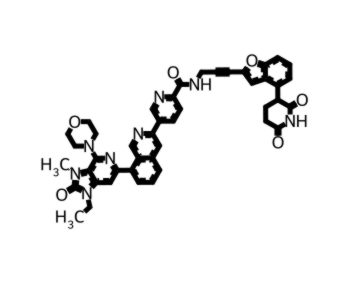 CCn1c(=O)n(C)c2c(N3CCOCC3)nc(-c3cccc4cc(-c5ccc(C(=O)NCC#Cc6cc7c(C8CCC(=O)NC8=O)cccc7o6)nc5)ncc34)cc21